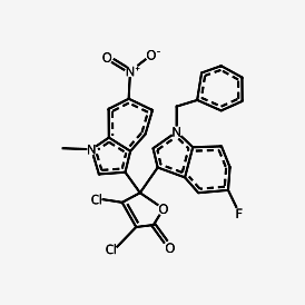 Cn1cc(C2(c3cn(Cc4ccccc4)c4ccc(F)cc34)OC(=O)C(Cl)=C2Cl)c2ccc([N+](=O)[O-])cc21